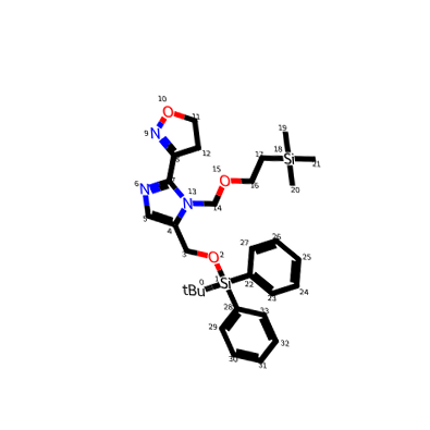 CC(C)(C)[Si](OCc1cnc(C2=NOCC2)n1COCC[Si](C)(C)C)(c1ccccc1)c1ccccc1